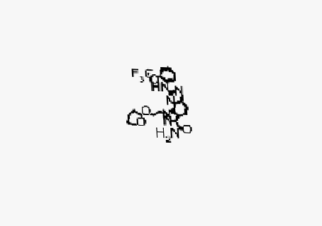 NC(=O)c1nn(CCOC2CCCCO2)c2c1CCc1cnc(Nc3ccccc3OC(F)(F)F)nc1-2